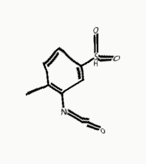 Cc1ccc([SH](=O)=O)cc1N=C=O